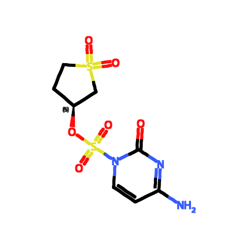 Nc1ccn(S(=O)(=O)O[C@H]2CCS(=O)(=O)C2)c(=O)n1